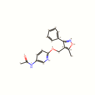 CC(=O)Nc1ccc(OCc2c(-c3ccccc3)noc2C)nc1